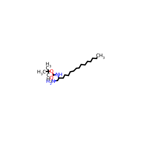 CCCCCCCCCCCCCCC(CN)NC(=O)OC(C)(C)C